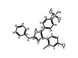 Cc1cc(Cl)ccc1-c1nc(Cc2ccccc2)oc1-c1ccc(S(C)(=O)=O)cc1